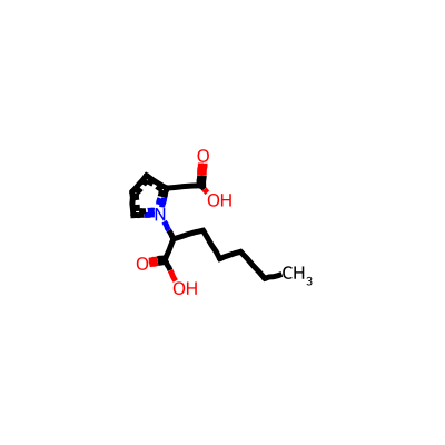 CCCCCC(C(=O)O)n1cccc1C(=O)O